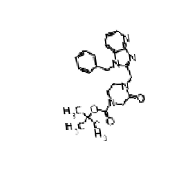 CC(C)(C)OC(=O)N1CCN(Cc2nc3ncccc3n2Cc2ccccc2)C(=O)C1